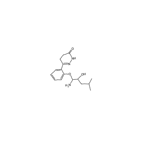 CC(C)CC(O)C(N)Oc1ccccc1C1=NNC(=O)CC1